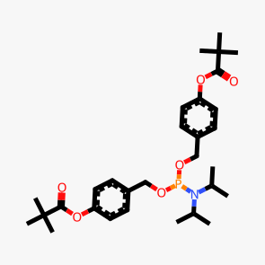 CC(C)N(C(C)C)P(OCc1ccc(OC(=O)C(C)(C)C)cc1)OCc1ccc(OC(=O)C(C)(C)C)cc1